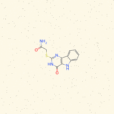 NC(=O)CSc1nc2c([nH]c3ccccc32)c(=O)[nH]1